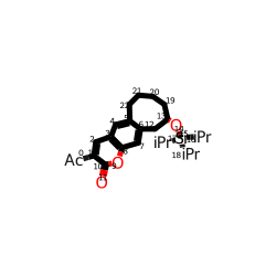 CC(=O)c1cc2cc3c(cc2oc1=O)CC(O[Si](C(C)C)(C(C)C)C(C)C)CCCC3